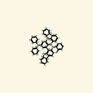 Cc1ccccc1N1B2c3c(cc(N(c4ccccc4)c4ccccc4)cc3-n3c4ccccc4c4cccc2c43)-c2c1ccc1c2oc2ccccc21